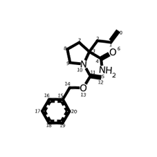 C=CCC1(C(N)=O)CCCN1C(=C)OCc1ccccc1